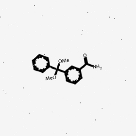 COC(OC)(c1ccccc1)c1cccc(C(N)=O)c1